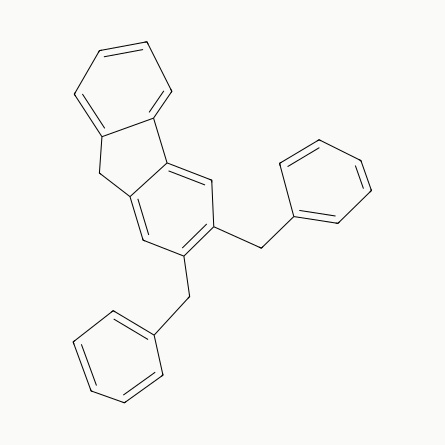 c1ccc(Cc2cc3c(cc2Cc2ccccc2)-c2ccccc2C3)cc1